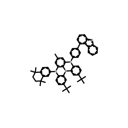 Cc1cc2c3c(c1)N(c1ccc4c(c1)C(C)(C)CCC4(C)C)c1ccc(C(C)(C)C)cc1B3c1cc(C(C)(C)C)ccc1N2c1ccc(-c2cccc3sc4ccccc4c23)cc1